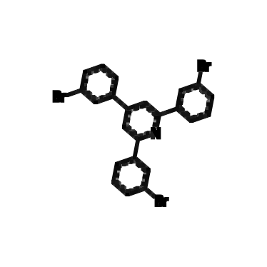 Brc1cccc(-c2cc(-c3cccc(Br)c3)nc(-c3cccc(Br)c3)c2)c1